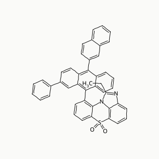 CCc1nc2cccc3c2n1-c1c(-c2c4ccccc4c(-c4ccc5ccccc5c4)c4ccc(-c5ccccc5)cc24)cccc1S3(=O)=O